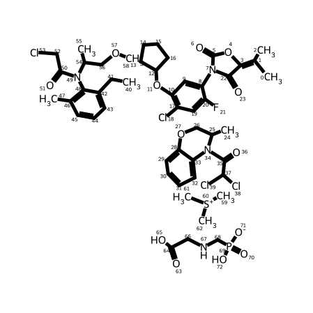 CC(C)=C1OC(=O)N(c2cc(OC3CCCC3)c(Cl)cc2F)C1=O.CC1COc2ccccc2N1C(=O)C(Cl)Cl.CCc1cccc(C)c1N(C(=O)CCl)C(C)COC.C[S+](C)C.O=C(O)CNCP(=O)([O-])O